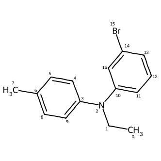 CCN(c1ccc(C)cc1)c1cccc(Br)c1